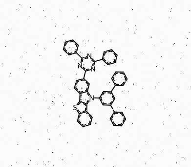 c1ccc(-c2cc(-c3ccccc3)cc(-n3c4cc(-c5nc(-c6ccccc6)nc(-c6ccccc6)n5)ccc4c4sc5ccccc5c43)c2)cc1